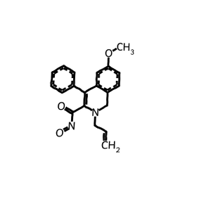 C=CCN1Cc2ccc(OC)cc2C(c2ccccc2)=C1C(=O)N=O